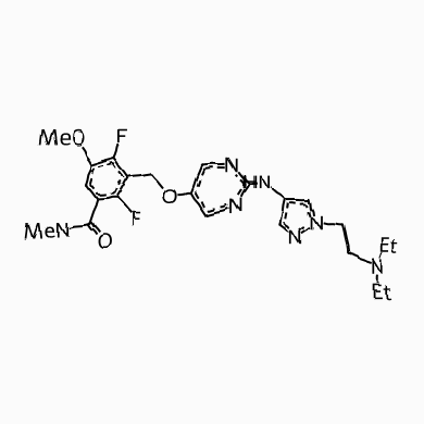 CCN(CC)CCn1cc(Nc2ncc(OCc3c(F)c(OC)cc(C(=O)NC)c3F)cn2)cn1